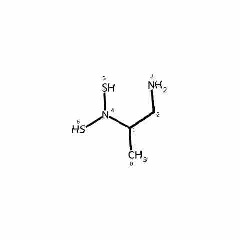 CC(CN)N(S)S